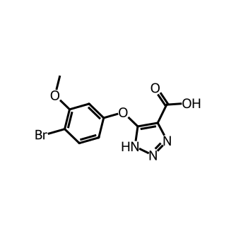 COc1cc(Oc2[nH]nnc2C(=O)O)ccc1Br